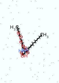 CCCCCCCCCCCCCCNC(=O)C(CC(=O)O)NC(=O)COCCOCCOCCOCCCC